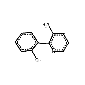 Nc1[c]ccnc1-c1ccccc1O